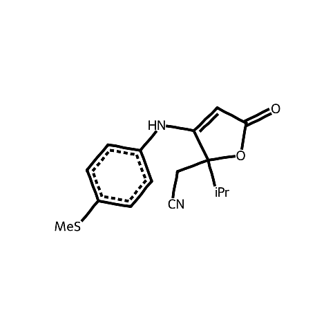 CSc1ccc(NC2=CC(=O)OC2(CC#N)C(C)C)cc1